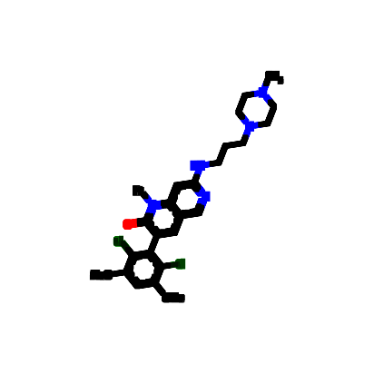 CCn1c(=O)c(-c2c(Cl)c(OC)cc(OC)c2Cl)cc2cnc(NCCCN3CCN(C)CC3)cc21